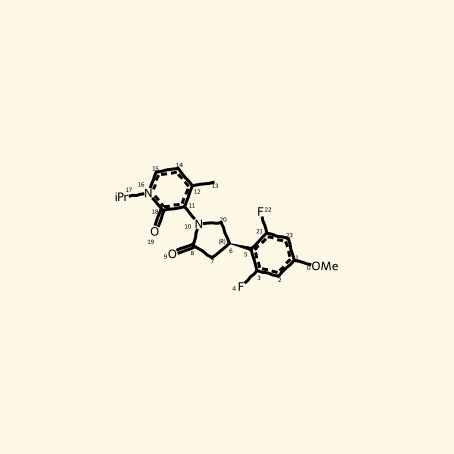 COc1cc(F)c([C@H]2CC(=O)N(c3c(C)ccn(C(C)C)c3=O)C2)c(F)c1